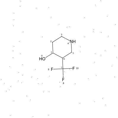 OC1CCNCC1C(F)(F)F